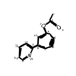 CC(=O)Oc1cccc(-c2ccccn2)c1